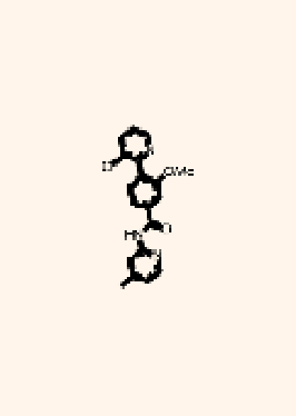 COc1cc(C(=O)Nc2cc(C)ccn2)ccc1-c1ncccc1Cl